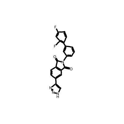 O=C1c2ccc(-c3c[nH]nn3)cc2C(=O)N1c1cccc(-c2ccc(F)cc2F)c1